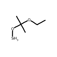 CCOC(C)(C)O[SiH3]